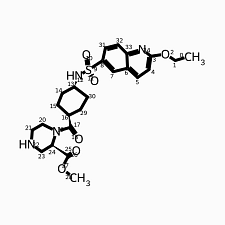 CCOc1ccc2cc(S(=O)(=O)N[C@H]3CC[C@H](C(=O)N4CCNC[C@@H]4C(=O)OC)CC3)ccc2n1